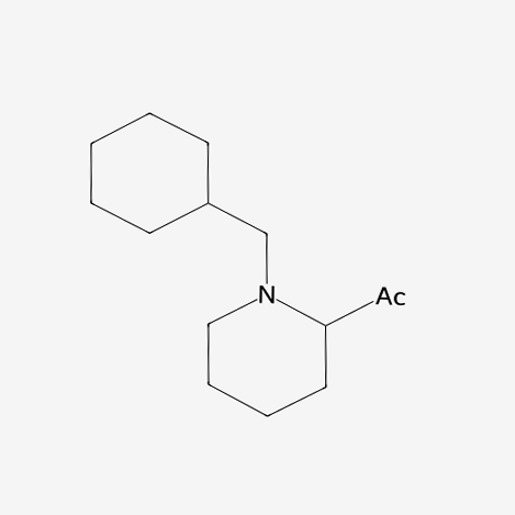 CC(=O)C1CCCCN1CC1CCCCC1